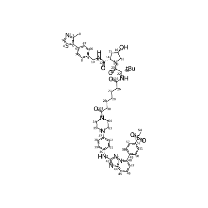 Cc1ncsc1-c1ccc(CNC(=O)[C@@H]2C[C@@H](O)CN2C(=O)[C@@H](NC(=O)CCCCCC(=O)N2CCN(c3ccc(Nc4nc5cccc(-c6ccc(S(C)(=O)=O)cc6)n5n4)cc3)CC2)C(C)(C)C)cc1